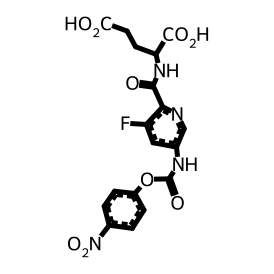 O=C(O)CCC(NC(=O)c1ncc(NC(=O)Oc2ccc([N+](=O)[O-])cc2)cc1F)C(=O)O